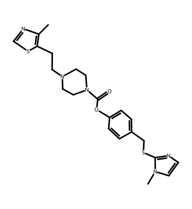 Cc1ncsc1CCN1CCN(C(=O)Oc2ccc(CSc3nccn3C)cc2)CC1